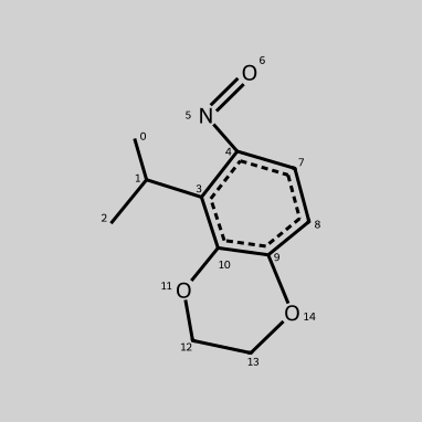 CC(C)c1c(N=O)ccc2c1OCCO2